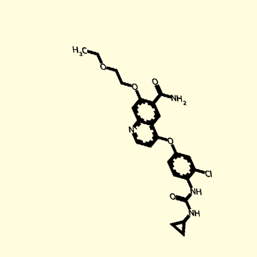 CCOCCOc1cc2nccc(Oc3ccc(NC(=O)NC4CC4)c(Cl)c3)c2cc1C(N)=O